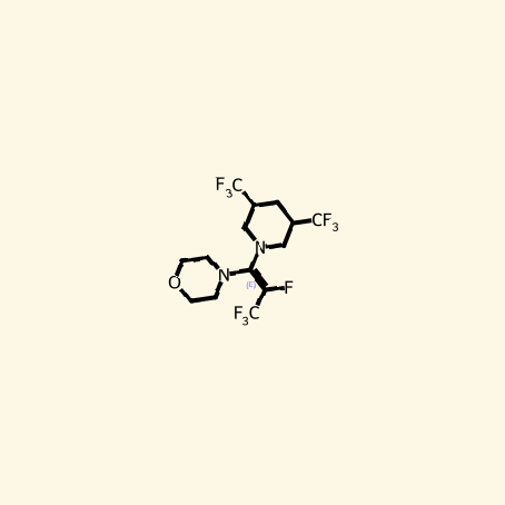 F/C(=C(/N1CCOCC1)N1CC(C(F)(F)F)CC(C(F)(F)F)C1)C(F)(F)F